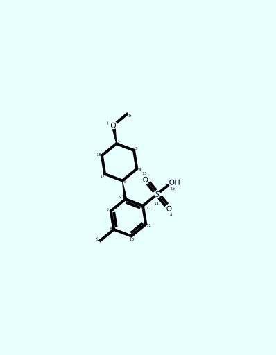 CO[C@H]1CC[C@@H](c2cc(C)ccc2S(=O)(=O)O)CC1